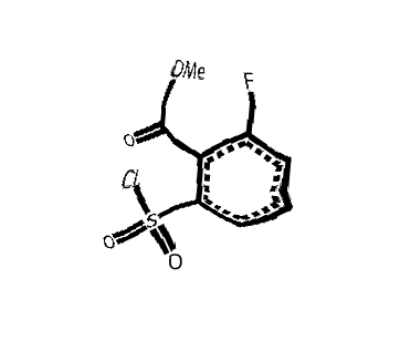 COC(=O)c1c(F)cccc1S(=O)(=O)Cl